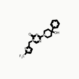 O=c1nc(N2CCC(O)(c3ccccc3)CC2)ncn1Cc1ccc(C(F)(F)F)s1